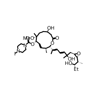 CC[C@H](O)[C@@H](C)[C@H]1O[C@@H]1CC(C)(O)/C=C/C=C(\C)[C@H]1OC(=O)C[C@H](O)CC[C@@](C)(OC)[C@@H](OC(=O)N2CCN(I)CC2)/C=C/[C@@H]1C